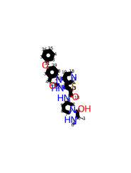 CN[C@@H](C)C(O)N1CCC[C@@H](NC(=O)c2sc3nccc4c3c2NC(=O)N4c2ccc(Oc3ccccc3)cc2C)C1